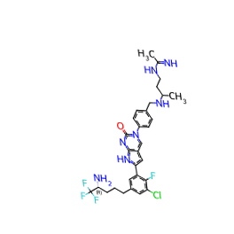 CC(=N)NCCC(C)NCc1ccc(-n2cc3cc(-c4cc(CCC[C@@H](N)C(F)(F)F)cc(Cl)c4F)[nH]c3nc2=O)cc1